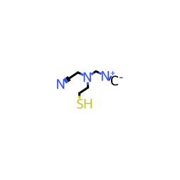 [C-]#[N+]CN(CC#N)CCS